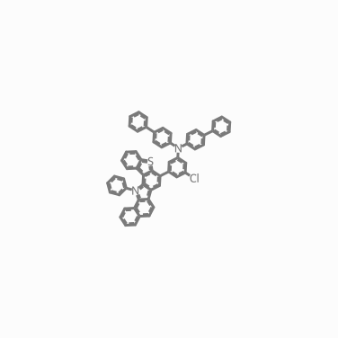 Clc1cc(-c2cc3c4ccc5ccccc5c4n(-c4ccccc4)c3c3c2sc2ccccc23)cc(N(c2ccc(-c3ccccc3)cc2)c2ccc(-c3ccccc3)cc2)c1